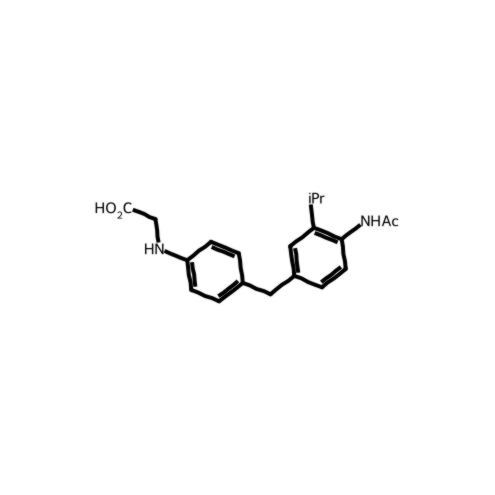 CC(=O)Nc1ccc(Cc2ccc(NCC(=O)O)cc2)cc1C(C)C